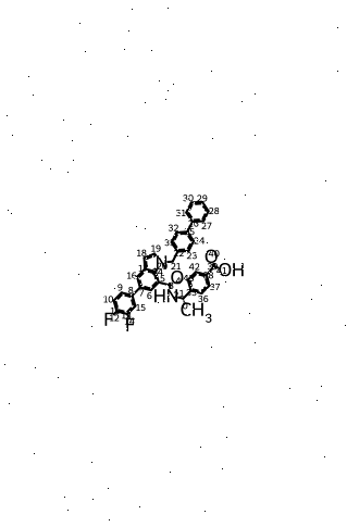 C[C@H](NC(=O)c1cc(-c2ccc(F)c(F)c2)cc2ccn(Cc3ccc(-c4ccccc4)cc3)c12)c1ccc(C(=O)O)cc1